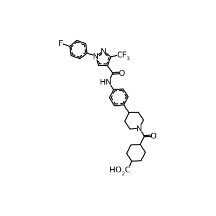 O=C(Nc1ccc(C2CCN(C(=O)C3CCC(C(=O)O)CC3)CC2)cc1)c1cn(-c2ccc(F)cc2)nc1C(F)(F)F